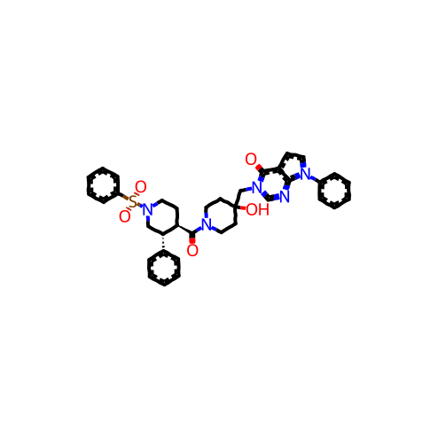 O=C([C@@H]1CCN(S(=O)(=O)c2ccccc2)C[C@H]1c1ccccc1)N1CCC(O)(Cn2cnc3c(ccn3-c3ccccc3)c2=O)CC1